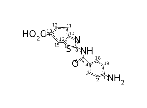 Nc1ccc(C(=O)Nc2nc3ccc(C(=O)O)cc3s2)cc1